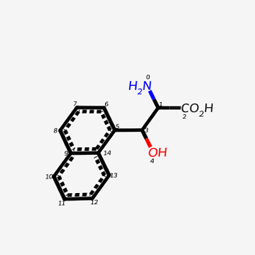 NC(C(=O)O)C(O)c1cccc2ccccc12